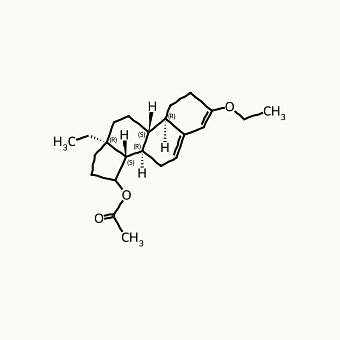 CCOC1=CC2=CC[C@@H]3[C@H](CC[C@]4(CC)CCC(OC(C)=O)[C@@H]34)[C@H]2CC1